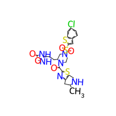 CC1Cc2nc(C(=O)N3CCN(S(=O)(=O)c4cc5ccc(Cl)cc5s4)CC3CCC3NOC(=O)N3)sc2CN1